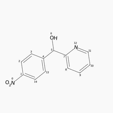 O=[N+]([O-])c1ccc(C(O)c2ccccn2)cc1